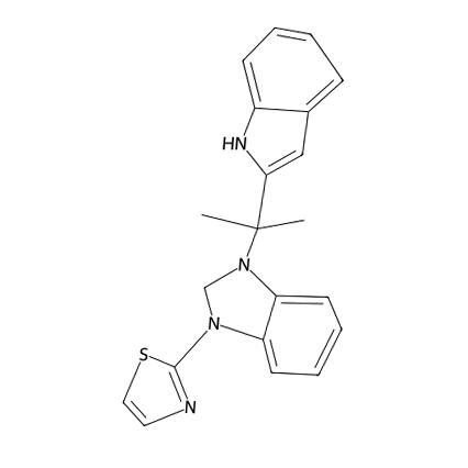 CC(C)(c1cc2ccccc2[nH]1)N1CN(c2nccs2)c2ccccc21